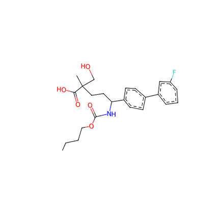 CCCCOC(=O)NC(CCC(C)(CO)C(=O)O)c1ccc(-c2cccc(F)c2)cc1